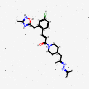 CC(C)=N/N=C(\C)CC1CCN(C(=O)/C=C/c2ccc(Cl)cc2Cc2nc(C)no2)CC1